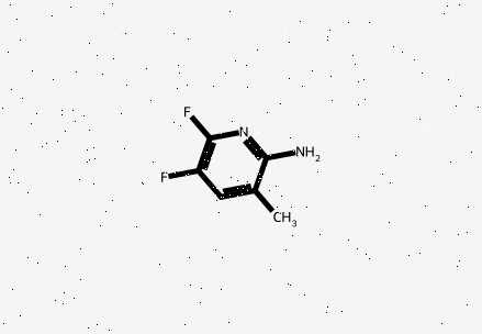 Cc1cc(F)c(F)nc1N